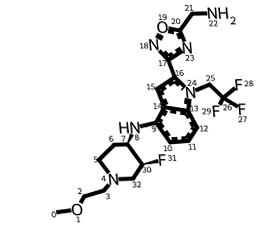 COCCN1CC[C@@H](Nc2cccc3c2cc(-c2noc(CN)n2)n3CC(F)(F)F)[C@@H](F)C1